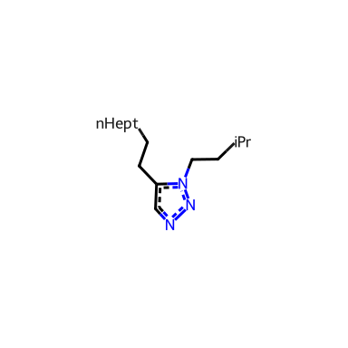 CCCCCCCCCc1cnnn1CCC(C)C